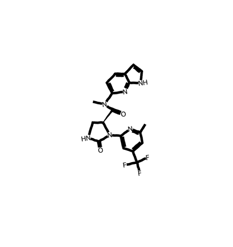 Cc1cc(C(F)(F)F)cc(N2C(=O)NC[C@H]2C(=O)N(C)c2ccc3cc[nH]c3n2)n1